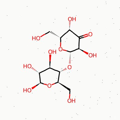 O=C1[C@@H](O)[C@H](O[C@H]2[C@H](O)[C@@H](O)[C@H](O)O[C@@H]2CO)O[C@H](CO)[C@@H]1O